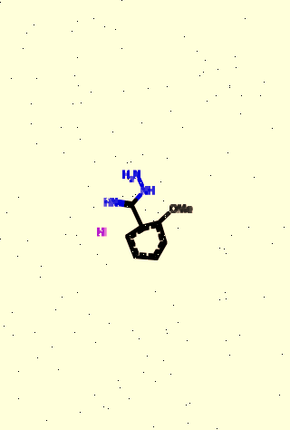 COc1ccccc1C(=N)NN.I